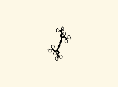 COC(=O)c1cc(C#CC#Cc2cc(C(=O)OC)oc2C(=O)OC)c(C(=O)OC)o1